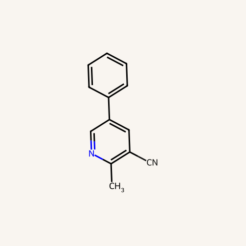 Cc1ncc(-c2ccccc2)cc1C#N